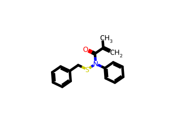 C=C(C)C(=O)N(SCc1ccccc1)c1ccccc1